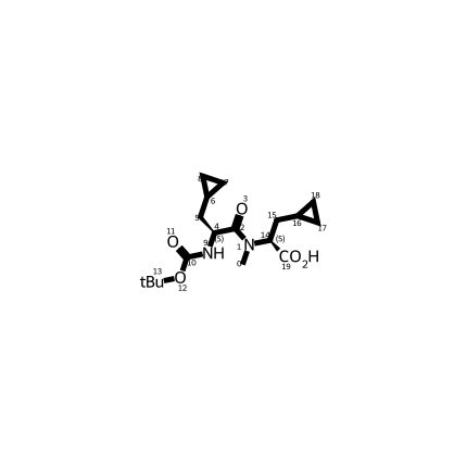 CN(C(=O)[C@H](CC1CC1)NC(=O)OC(C)(C)C)[C@@H](CC1CC1)C(=O)O